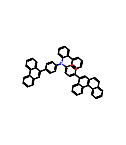 c1ccc(-c2ccccc2N(c2ccc(-c3cc4ccccc4c4ccccc34)cc2)c2ccc(-c3cc4ccc5ccccc5c4c4ccccc34)cc2)cc1